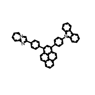 c1cc2ccc3c(-c4ccc(-c5cn6ccccc6n5)cc4)cc(-c4ccc(-n5c6ccccc6c6ccccc65)cc4)c4ccc(c1)c2c34